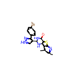 Cc1cc(C)c2c3c(sc2n1)C(=O)NC(c1c[nH]nc1-c1ccc(Br)cc1)N3